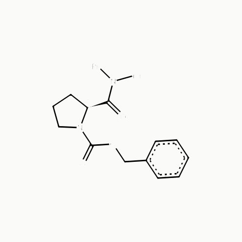 CC(C)N(C(=O)[C@@H]1CCCN1C(=O)OCc1ccccc1)C(C)C